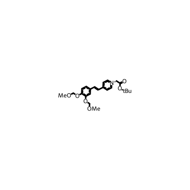 COCOc1ccc(C=Cc2cc[n+](CC(=O)OC(C)(C)C)cc2)cc1OCOC